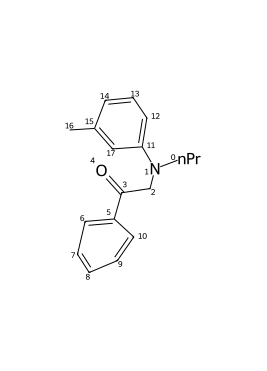 CCCN(CC(=O)c1ccccc1)c1cccc(C)c1